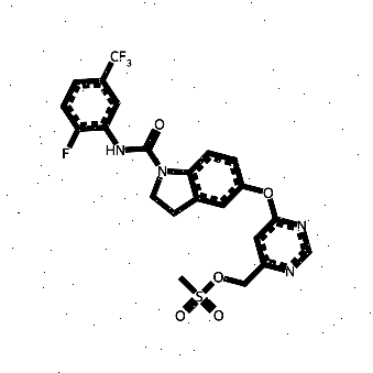 CS(=O)(=O)OCc1cc(Oc2ccc3c(c2)CCN3C(=O)Nc2cc(C(F)(F)F)ccc2F)ncn1